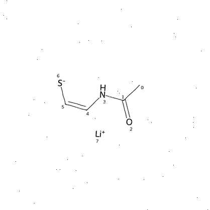 CC(=O)N/C=C\[S-].[Li+]